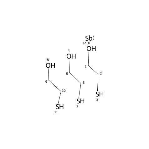 OCCS.OCCS.OCCS.[Sb]